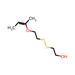 C/C=C(/C)OCCSSCCO